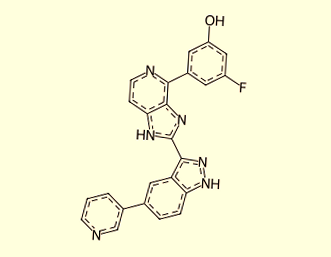 Oc1cc(F)cc(-c2nccc3[nH]c(-c4n[nH]c5ccc(-c6cccnc6)cc45)nc23)c1